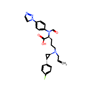 C=CCN(CCC[C@@H](C(=O)O)N(C=O)c1ccc(-n2ccnn2)cc1)[C@@H]1C[C@H]1c1ccc(F)cc1